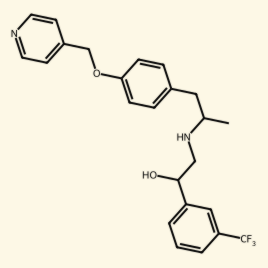 CC(Cc1ccc(OCc2ccncc2)cc1)NCC(O)c1cccc(C(F)(F)F)c1